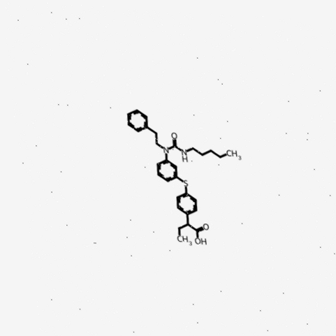 CCCCCNC(=O)N(CCc1ccccc1)c1cccc(Sc2ccc(C(CC)C(=O)O)cc2)c1